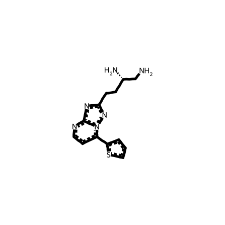 NC[C@@H](N)CCc1nc2nccc(-c3cccs3)n2n1